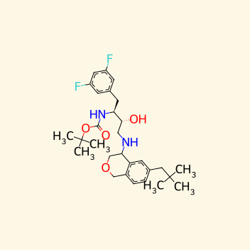 CC(C)(C)Cc1ccc2c(c1)C(NC[C@@H](O)[C@H](Cc1cc(F)cc(F)c1)NC(=O)OC(C)(C)C)COC2